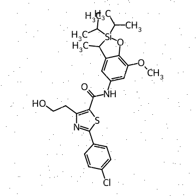 COc1cc(NC(=O)c2sc(-c3ccc(Cl)cc3)nc2CCO)cc2c1O[Si](C(C)C)(C(C)C)C2C